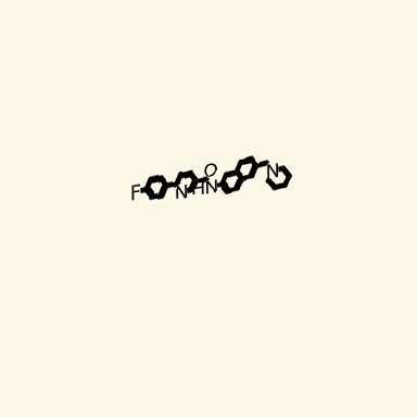 O=C(Nc1ccc2cc(CN3CCCCC3)ccc2c1)c1ccc(-c2ccc(F)cc2)nc1